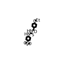 CCOc1ccc(C(=O)NC(=S)Nc2ccc(S(C)(=O)=O)cc2)cc1